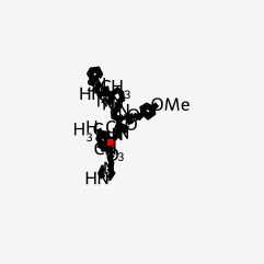 COc1ccc(COC(=O)c2nc(N3CCCc4c3nnc(Nc3nc5ccccc5s3)c4C)ccc2-c2cnn(CC34CC5(C)CC(C)(C3)CC(OCCN3CCNCC3)(C5)C4)c2C)cc1